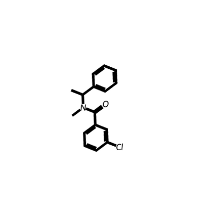 CC(c1ccccc1)N(C)C(=O)c1cccc(Cl)c1